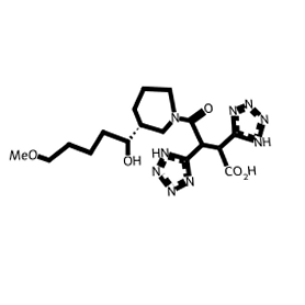 COCCCCC(O)[C@@H]1CCCN(C(=O)C(c2nnn[nH]2)C(C(=O)O)c2nnn[nH]2)C1